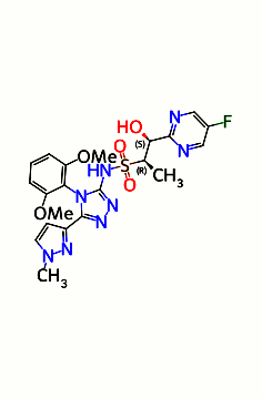 COc1cccc(OC)c1-n1c(NS(=O)(=O)[C@H](C)[C@@H](O)c2ncc(F)cn2)nnc1-c1ccn(C)n1